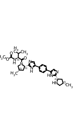 COC(=O)N[C@H](C(=O)N1C[C@@H](C)C[C@H]1c1ncc(-c2ccc(-c3cnc([C@@H]4C[C@H](C)CN4)[nH]3)cc2)[nH]1)C(C)C